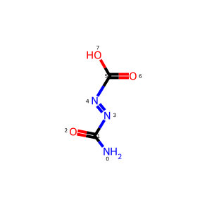 NC(=O)N=NC(=O)O